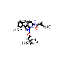 COc1cccc(OC)c1-c1cn(COCC[Si](C)(C)C)c2nc(NC(=O)C3CC3C=O)ccc12